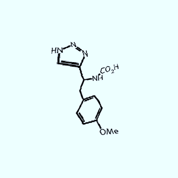 COc1ccc(CC(NC(=O)O)c2c[nH]nn2)cc1